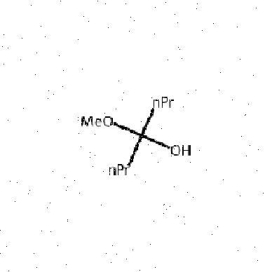 CCCC(O)(CCC)OC